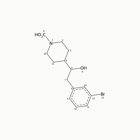 O=C(O)N1CCC(C(O)Cc2cccc(Br)c2)CC1